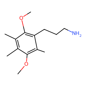 COc1c(C)c(C)c(OC)c(CCCN)c1C